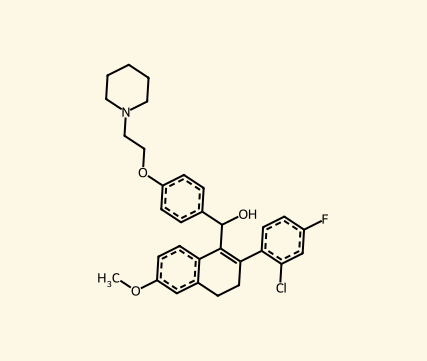 COc1ccc2c(c1)CCC(c1ccc(F)cc1Cl)=C2C(O)c1ccc(OCCN2CCCCC2)cc1